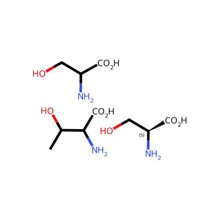 CC(O)C(N)C(=O)O.NC(CO)C(=O)O.N[C@@H](CO)C(=O)O